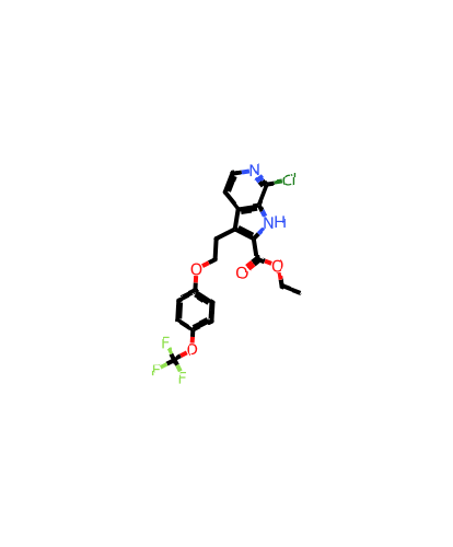 CCOC(=O)c1[nH]c2c(Cl)nccc2c1CCOc1ccc(OC(F)(F)F)cc1